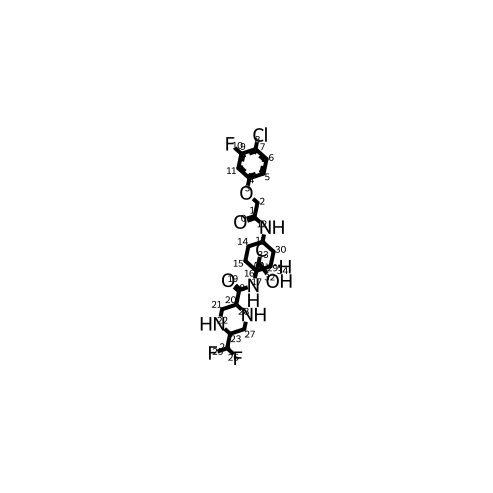 O=C(COc1ccc(Cl)c(F)c1)NC12CCC(NC(=O)C3CNC(C(F)F)CN3)(CC1)[C@H](O)C2